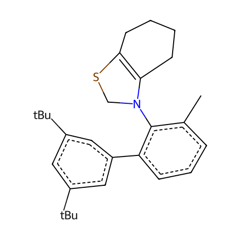 Cc1cccc(-c2cc(C(C)(C)C)cc(C(C)(C)C)c2)c1N1CSC2=C1CCCC2